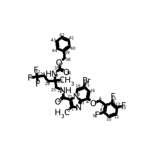 Cc1nc2c(OCc3c(F)ccc(F)c3F)cc(Br)cn2c1C(=O)NCC(C)(CCC(F)(F)F)NC(=O)OCc1ccccc1